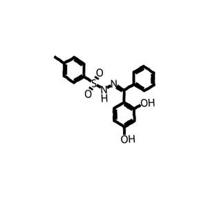 Cc1ccc(S(=O)(=O)NN=C(c2ccccc2)c2ccc(O)cc2O)cc1